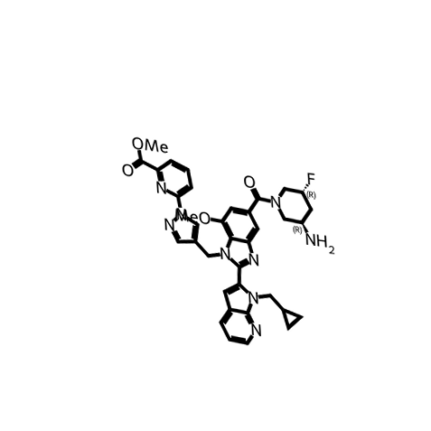 COC(=O)c1cccc(-n2cc(Cn3c(-c4cc5cccnc5n4CC4CC4)nc4cc(C(=O)N5C[C@H](N)C[C@@H](F)C5)cc(OC)c43)cn2)n1